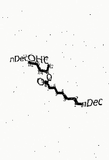 CCCCCCCCCCCCCCCCCC(=O)OC(CC=O)CCCCCCCCCCCCC